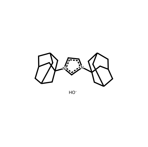 [OH-].c1c[n+](C23CC4CC(CC(C4)C2)C3)cn1C12CC3CC(CC(C3)C1)C2